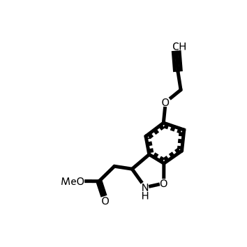 C#CCOc1ccc2c(c1)C(CC(=O)OC)NO2